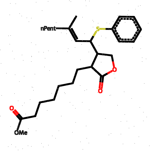 CCCCCC(C)=CC(Sc1ccccc1)C1COC(=O)C1CCCCCCC(=O)OC